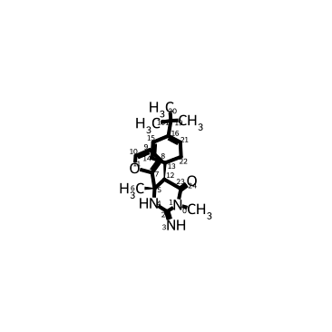 CN1C(=N)N[C@](C)(c2ccco2)[C@@H](C2C=CC(C(C)(C)C)=CC2)C1=O